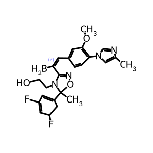 B/C(=C/c1ccc(-n2cnc(C)c2)c(OC)c1)C1=NOC(C)(C2=CC(F)=CC(F)C2)N1CCO